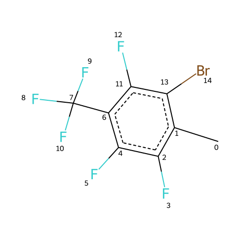 Cc1c(F)c(F)c(C(F)(F)F)c(F)c1Br